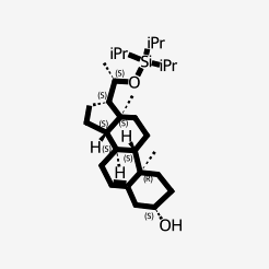 CC(C)[Si](O[C@@H](C)[C@H]1CC[C@H]2[C@@H]3CC=C4C[C@@H](O)CC[C@]4(C)[C@H]3CC[C@]12C)(C(C)C)C(C)C